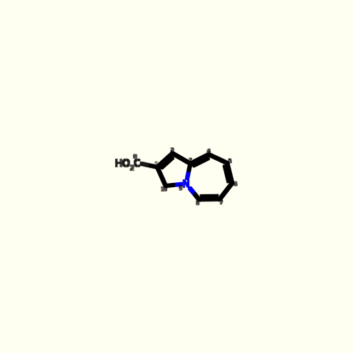 O=C(O)C1=CC2=CC=CC=CN2C1